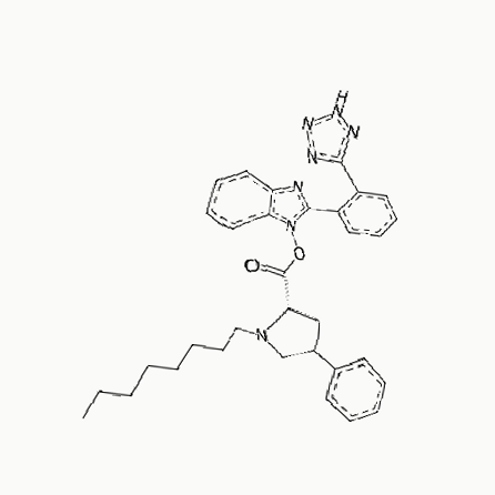 CCCCCCCCN1CC(c2ccccc2)C[C@H]1C(=O)On1c(-c2ccccc2-c2nn[nH]n2)nc2ccccc21